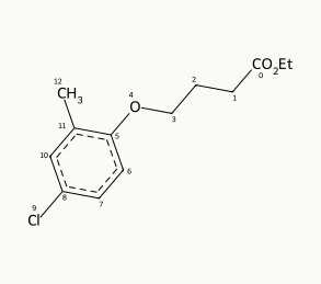 CCOC(=O)CCCOc1ccc(Cl)cc1C